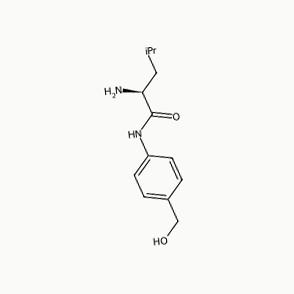 CC(C)C[C@H](N)C(=O)Nc1ccc(CO)cc1